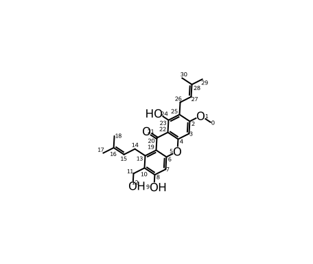 COc1cc2oc3cc(O)c(CO)c(CC=C(C)C)c3c(=O)c2c(O)c1CC=C(C)C